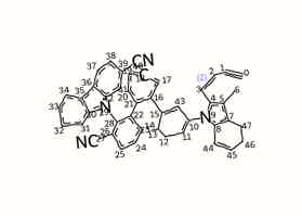 C#C/C=C\c1c(C)c2c(n1C1=CCC(C)C(c3ccccc3-c3cccc(C#N)c3-n3c4ccccc4c4ccc(C#N)cc43)=C1)C=CCC2